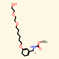 C[C@@H](NC(=O)OC(C)(C)C)C1=CCCC(OCCCCCCOCCOCCO)=C1